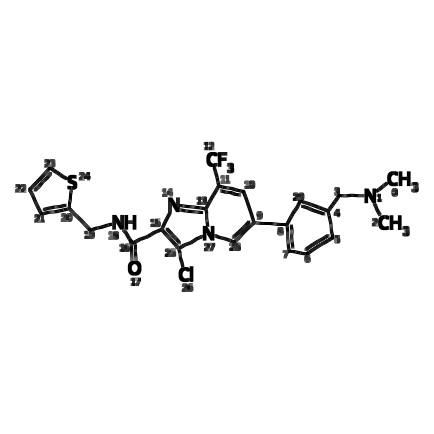 CN(C)Cc1cccc(-c2cc(C(F)(F)F)c3nc(C(=O)NCc4cccs4)c(Cl)n3c2)c1